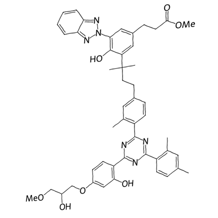 COCC(O)COc1ccc(-c2nc(-c3ccc(C)cc3C)nc(-c3ccc(CCC(C)(C)c4cc(CCC(=O)OC)cc(-n5nc6ccccc6n5)c4O)cc3C)n2)c(O)c1